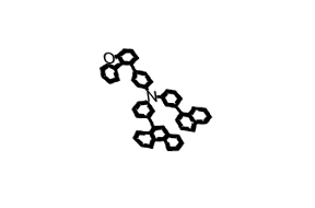 c1cc(-c2cccc3ccccc23)cc(N(c2ccc(-c3cccc4oc5ccccc5c34)cc2)c2cccc(-c3cc4ccccc4c4ccccc34)c2)c1